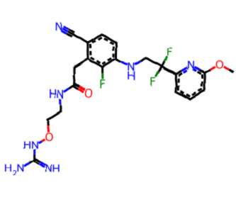 COc1cccc(C(F)(F)CNc2ccc(C#N)c(CC(=O)NCCONC(=N)N)c2F)n1